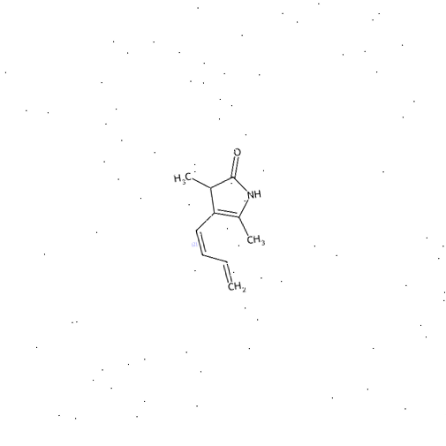 C=C/C=C\C1=C(C)NC(=O)C1C